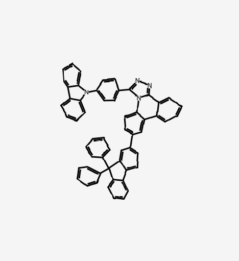 c1ccc(C2(c3ccccc3)c3ccccc3-c3ccc(-c4ccc5c(c4)c4ccccc4c4nnc(-c6ccc(-n7c8ccccc8c8ccccc87)cc6)n54)cc32)cc1